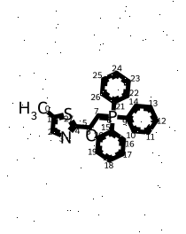 Cc1cnc(C(=O)C=P(c2ccccc2)(c2ccccc2)c2ccccc2)s1